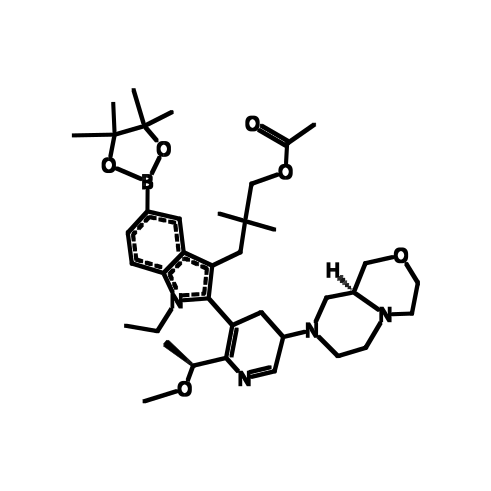 CCn1c(C2=C([C@H](C)OC)N=CC(N3CCN4CCOC[C@@H]4C3)C2)c(CC(C)(C)COC(C)=O)c2cc(B3OC(C)(C)C(C)(C)O3)ccc21